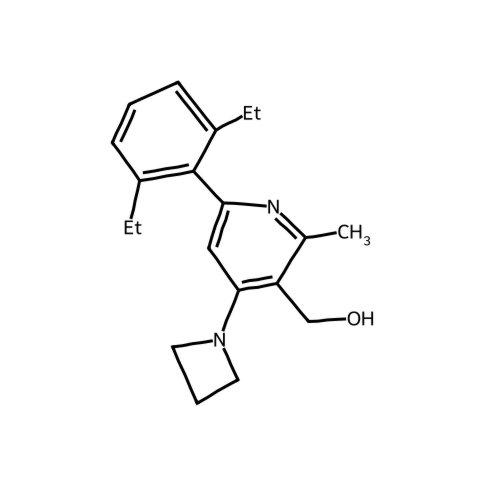 CCc1cccc(CC)c1-c1cc(N2CCC2)c(CO)c(C)n1